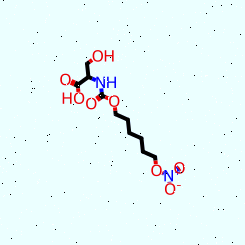 O=C(NC(CO)C(=O)O)OCCCCCCO[N+](=O)[O-]